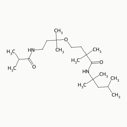 CC(C)CC(C)(C)NC(=O)C(C)(C)CCOC(C)(C)CCNC(=O)C(C)C